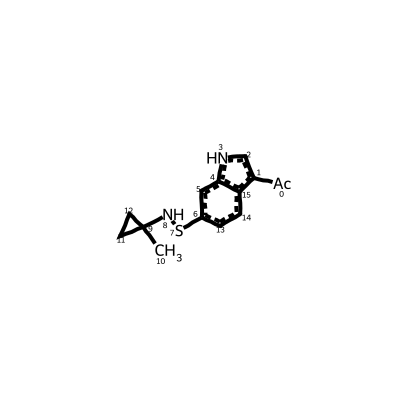 CC(=O)c1c[nH]c2cc(SNC3(C)CC3)ccc12